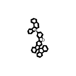 c1ccc2c(c1)-c1ccccc1C21c2ccccc2-c2cc3c(cc21)oc1ccc(-n2c4ccccc4c4c5ccccc5ccc42)cc13